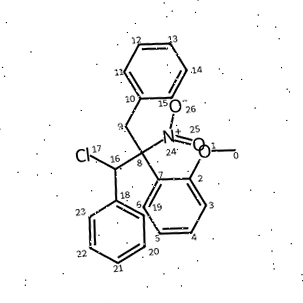 COc1ccccc1C(Cc1ccccc1)([C](Cl)c1ccccc1)[N+](=O)[O-]